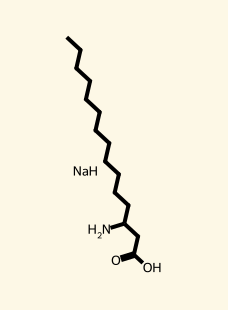 CCCCCCCCCCCCC(N)CC(=O)O.[NaH]